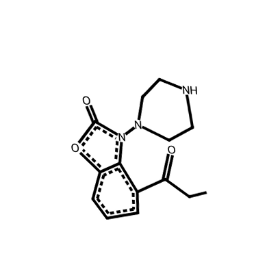 CCC(=O)c1cccc2oc(=O)n(N3CCNCC3)c12